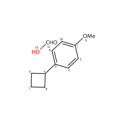 COc1ccc(C2CCC2)cc1.O=CO